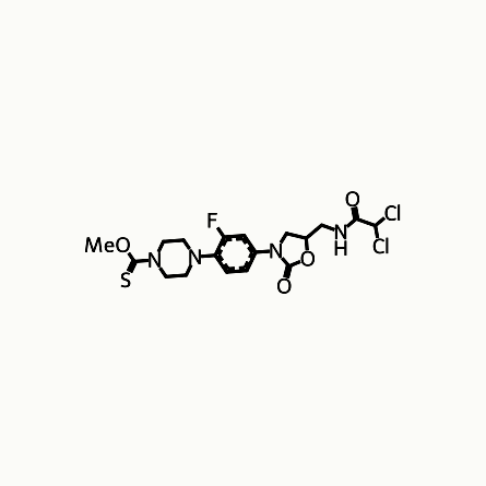 COC(=S)N1CCN(c2ccc(N3CC(CNC(=O)C(Cl)Cl)OC3=O)cc2F)CC1